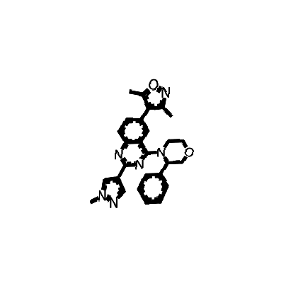 Cc1noc(C)c1-c1ccc2nc(-c3cnn(C)c3)nc(N3CCOCC3c3ccccc3)c2c1